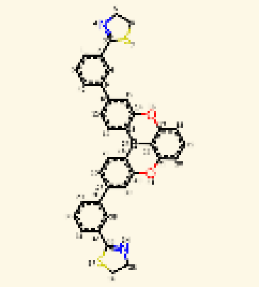 c1cc(C2=NCCS2)cc(-c2ccc3c(c2)Oc2cccc4c2B3c2ccc(-c3cccc(C5=NCCS5)c3)cc2O4)c1